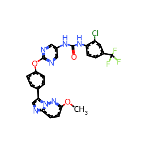 COc1ccc2ncc(-c3ccc(Oc4ncc(NC(=O)Nc5ccc(C(F)(F)F)cc5Cl)cn4)cc3)n2n1